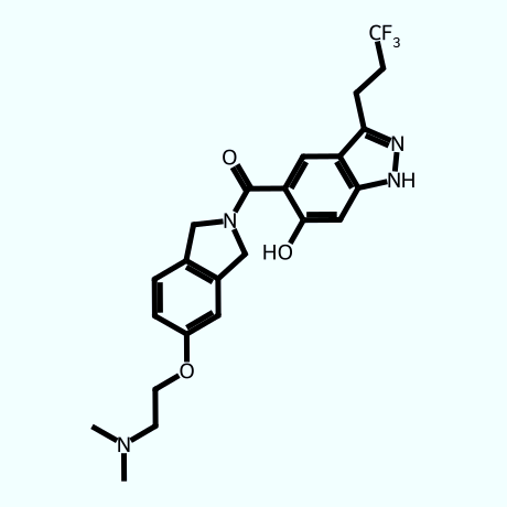 CN(C)CCOc1ccc2c(c1)CN(C(=O)c1cc3c(CCC(F)(F)F)n[nH]c3cc1O)C2